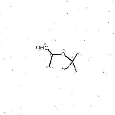 [CH2]C(C=O)OC(C)(C)C